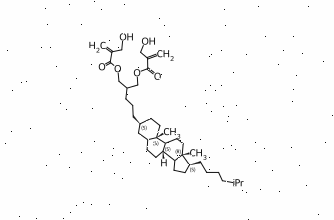 C=C(CO)C(=O)OCC(CCC[C@H]1CC[C@@]2(C)C(CC[C@@H]3C2CC[C@@]2(C)C3CC[C@@H]2CCCCC(C)C)C1)COC(=O)C(=C)CO